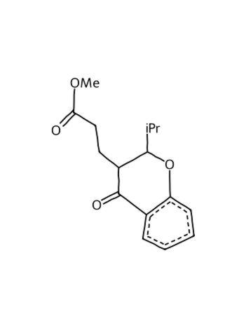 COC(=O)CCC1C(=O)c2ccccc2OC1C(C)C